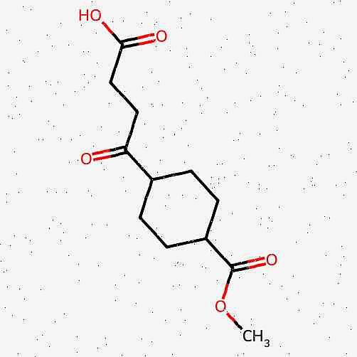 COC(=O)C1CCC(C(=O)CCC(=O)O)CC1